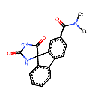 CCN(CC)C(=O)c1ccc2c(c1)C1(NC(=O)NC1=O)c1ccccc1-2